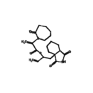 C=CC(CC12CCCCC1C(=O)NC2=O)OC(=O)C(=C)N1CCCCCC1=O